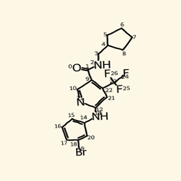 O=C(NCC1CCCC1)c1cnc(Nc2cccc(Br)c2)cc1C(F)(F)F